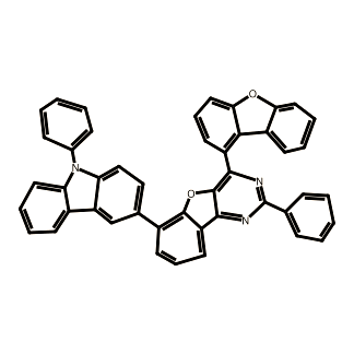 c1ccc(-c2nc(-c3cccc4oc5ccccc5c34)c3oc4c(-c5ccc6c(c5)c5ccccc5n6-c5ccccc5)cccc4c3n2)cc1